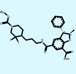 CNC(=O)c1cc(C(=O)NCCCC2CCN(C(=O)OC(C)(C)C)CC2(F)F)cc2c1O[C@H](C)[C@H]2c1ccccc1